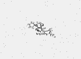 Cc1cc(C(F)(F)F)cc(O)c1-c1cc2c(nn1)N(C1CCCCC1)CCO2